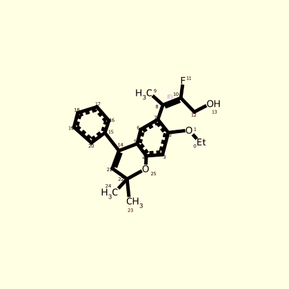 CCOc1cc2c(cc1/C(C)=C(/F)CO)C(c1ccccc1)=CC(C)(C)O2